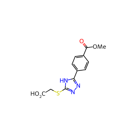 COC(=O)c1ccc(-c2nnc(SCC(=O)O)[nH]2)cc1